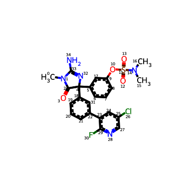 CN1C(=O)C(c2cccc(OS(=O)(=O)N(C)C)c2)(c2cccc(-c3cc(Cl)cnc3F)c2)N=C1N